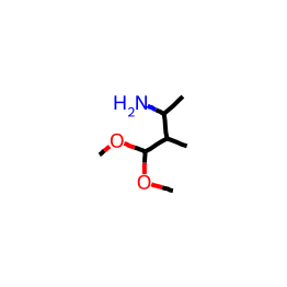 COC(OC)C(C)C(C)N